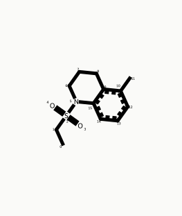 CCS(=O)(=O)N1CCCc2c(C)cccc21